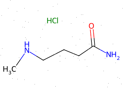 CNCCCC(N)=O.Cl